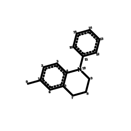 Cc1ccc2c(c1)CCCN2c1ccccc1